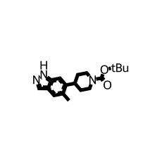 Cc1cc2cn[nH]c2cc1C1CCN(C(=O)OC(C)(C)C)CC1